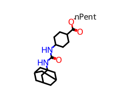 CCCCCOC(=O)C1CCC(NC(=O)NC23CC4CC(CC(C4)C2)C3)CC1